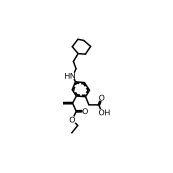 C=C(C(=O)OCC)c1cc(NCCC2CCCCC2)ccc1CC(=O)O